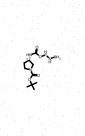 BNPOC(=O)N[C@H]1CCN(C(=O)OC(C)(C)C)C1